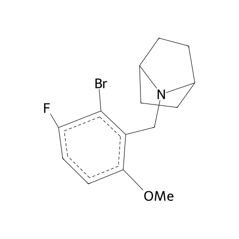 COc1ccc(F)c(Br)c1CN1C2CCC1CC2